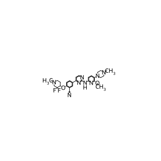 COc1nc(Nc2nccc(-c3ccc(OC4CCN(C)CC4(F)F)c(C#N)c3)n2)ccc1N1CCN(C)CC1